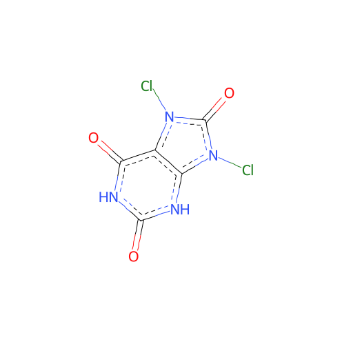 O=c1[nH]c(=O)c2c([nH]1)n(Cl)c(=O)n2Cl